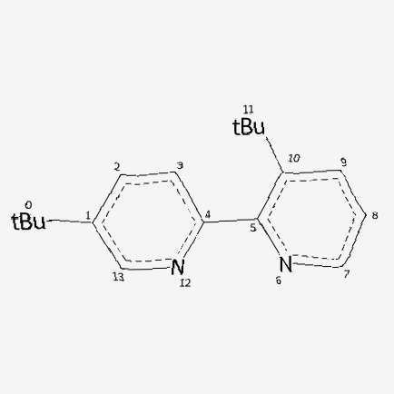 CC(C)(C)c1ccc(-c2ncccc2C(C)(C)C)nc1